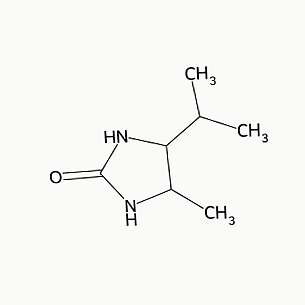 CC(C)C1NC(=O)NC1C